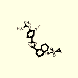 [C-]#[N+]c1cc(-c2nc(-c3cccc4c3CCC[C@@H]4NS(=O)(=O)C3CC3)no2)ccc1OC(C)C